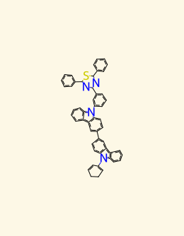 C1=CC(n2c3ccccc3c3cc(-c4ccc5c(c4)c4ccccc4n5-c4cccc(C5=NC(c6ccccc6)SC(c6ccccc6)=N5)c4)ccc32)=CCC1